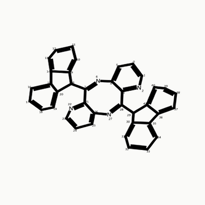 c1cnc2c(c1)/N=C(/C1c3ccccc3-c3ccccc31)c1ncccc1/N=C\2C1c2ccccc2-c2ccccc21